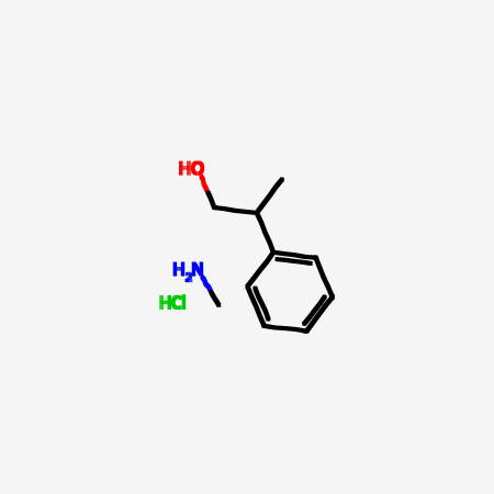 CC(CO)c1ccccc1.CN.Cl